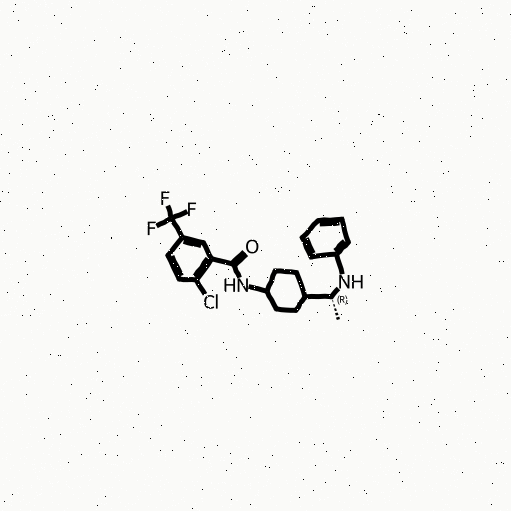 C[C@@H](Nc1ccccc1)C1CCC(NC(=O)c2cc(C(F)(F)F)ccc2Cl)CC1